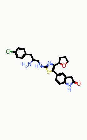 NC(CNc1nc(C2CCCO2)c(-c2ccc3c(c2)CC(=O)N3)s1)Cc1ccc(Cl)cc1